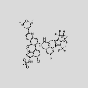 C[C@@H]1CN(c2ccc3c(=O)n(-c4ccc(Cl)c5c(NS(C)(=O)=O)nn(C)c45)c([C@H](Cc4cc(F)cc(F)c4)NC(=O)Cn4nc(C(F)(F)F)c5c4C(F)(F)[C@@H]4C[C@H]54)nc3n2)C[C@H](C)O1